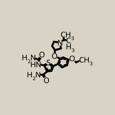 CCOc1ccc(-c2cc(C(N)=O)c(NC(N)=O)s2)c(OC2CCN(C(C)C)C2)c1